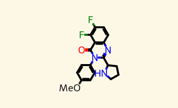 COc1ccc(-n2c(C3CCCN3)nc3ccc(F)c(F)c3c2=O)cc1